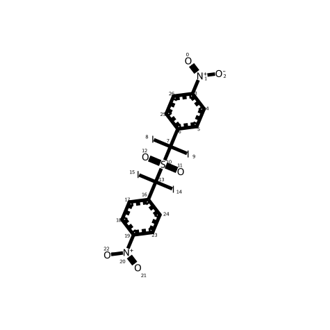 O=[N+]([O-])c1ccc(C(I)(I)S(=O)(=O)C(I)(I)c2ccc([N+](=O)[O-])cc2)cc1